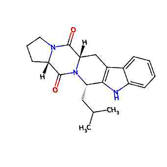 CC(C)C[C@H]1c2[nH]c3ccccc3c2C[C@H]2C(=O)N3CCC[C@H]3C(=O)N21